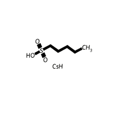 CCCCCS(=O)(=O)O.[CsH]